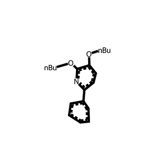 CCCCOc1ccc(-c2ccccc2)nc1OCCCC